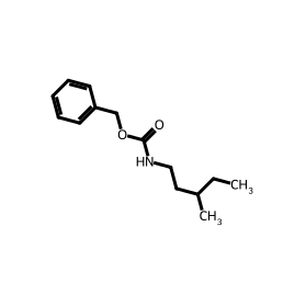 CCC(C)CCNC(=O)OCc1ccccc1